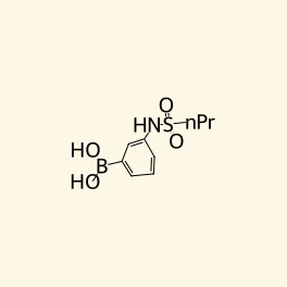 CCCS(=O)(=O)Nc1cccc(B(O)O)c1